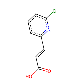 O=C(O)/C=C/c1cccc(Cl)n1